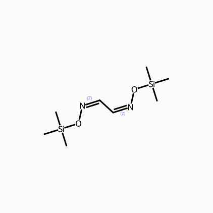 C[Si](C)(C)O/N=C\C=N/O[Si](C)(C)C